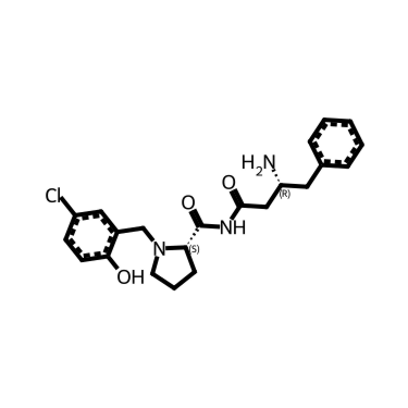 N[C@@H](CC(=O)NC(=O)[C@@H]1CCCN1Cc1cc(Cl)ccc1O)Cc1ccccc1